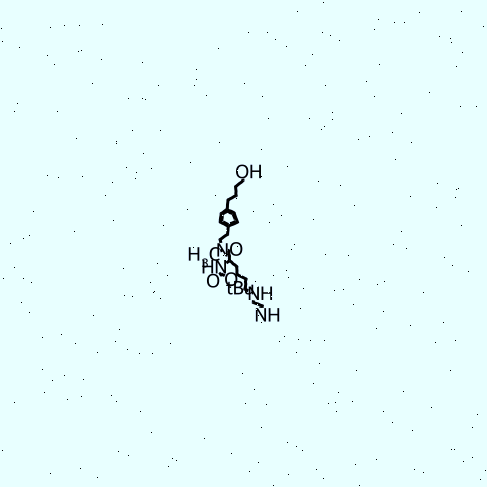 CN(CCc1ccc(CCCCO)cc1)C(=O)C(CCCCNCC=N)NC(=O)OC(C)(C)C